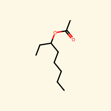 [CH2]C(=O)OC(CC)CCCCC